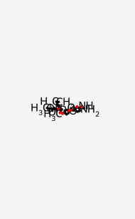 CCOC(=O)CCN(CCC(C)C)C(=O)C(C)=Cc1ccc(C(=O)Oc2ccc(C(=N)N)cc2)cc1